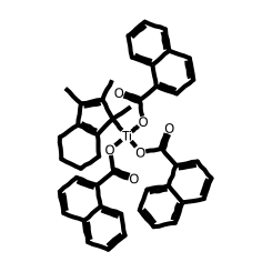 CC1=C(C)[C](C)([Ti]([O]C(=O)c2cccc3ccccc23)([O]C(=O)c2cccc3ccccc23)[O]C(=O)c2cccc3ccccc23)C2=C1CCCC2